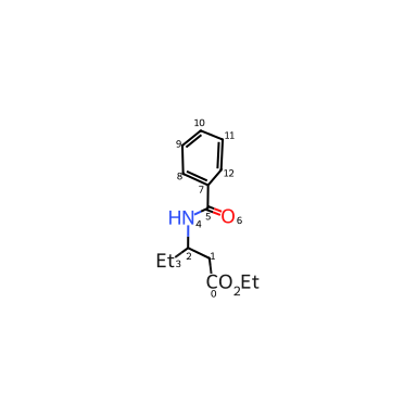 CCOC(=O)CC(CC)NC(=O)c1ccccc1